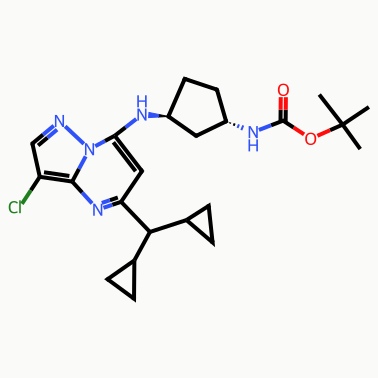 CC(C)(C)OC(=O)N[C@H]1CC[C@H](Nc2cc(C(C3CC3)C3CC3)nc3c(Cl)cnn23)C1